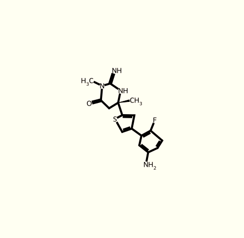 CN1C(=N)N[C@](C)(c2cc(-c3cc(N)ccc3F)cs2)CC1=O